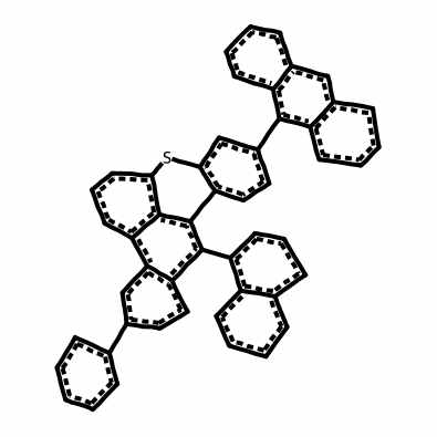 c1ccc(-c2ccc3c(-c4cccc5ccccc45)c4c5c(cccc5c3c2)Sc2cc(-c3c5ccccc5cc5ccccc35)ccc2-4)cc1